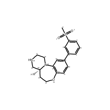 CS(=O)(=O)c1cccc(-c2ccc3c(c2)N2CCNC[C@@H]2CCO3)c1